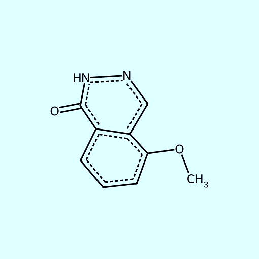 COc1cccc2c(=O)[nH]ncc12